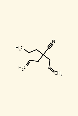 C=CCC(C#N)(CC=C)CCC